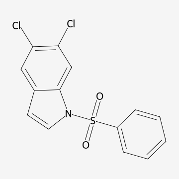 O=S(=O)(c1ccccc1)n1ccc2cc(Cl)c(Cl)cc21